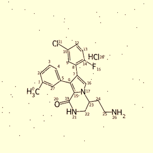 Cc1cccc(-c2c(-c3cc(Cl)ccc3F)cn3c2C(=O)NCC3CCN)c1.Cl